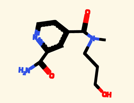 CN(CCCO)C(=O)c1[c]c(C(N)=O)ncc1